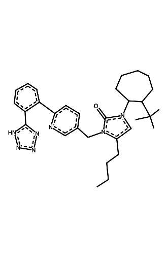 CCCCc1cn(C2CCCCCC2C(C)(C)C)c(=O)n1Cc1ccc(-c2ccccc2-c2nnn[nH]2)nc1